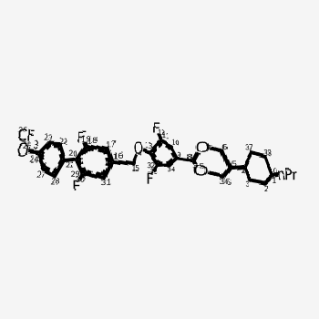 CCCC1CCC(C2COC(c3cc(F)c(OCc4cc(F)c(-c5ccc(OC(F)(F)F)cc5)c(F)c4)c(F)c3)OC2)CC1